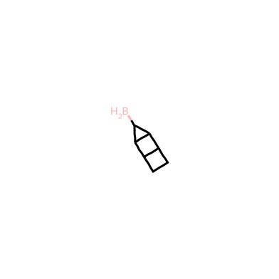 BC1C2C3CCC3C12